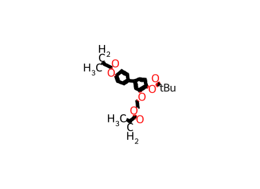 C=C(C)C(=O)OCCOc1cc(-c2ccc(OC(=O)C(=C)C)cc2)ccc1OC(=O)C(C)(C)C